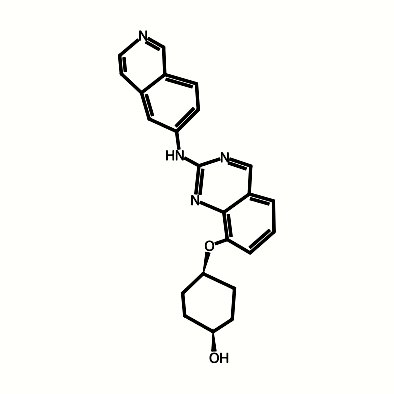 O[C@H]1CC[C@@H](Oc2cccc3cnc(Nc4ccc5cnccc5c4)nc23)CC1